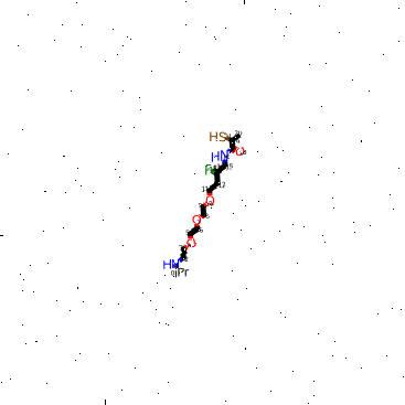 CC(C)NCCOCCOCCOCCC(F)CNC(=O)C(C)S